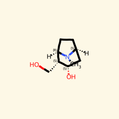 CN1[C@H]2CC[C@@H]1[C@@H](CO)[C@@H](O)C2